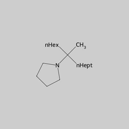 CCCCCCCC(C)(CCCCCC)N1CCCC1